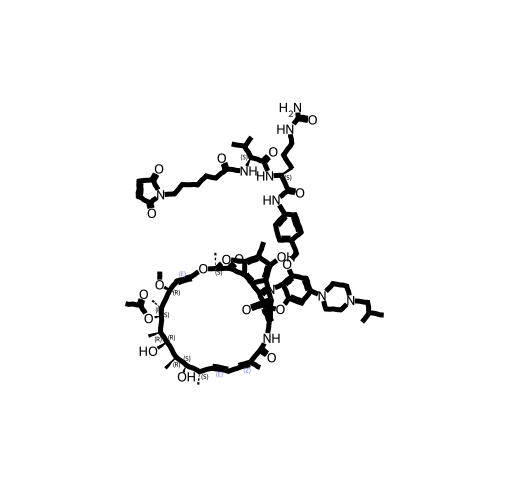 CO[C@H]1/C=C/O[C@@]2(C)Oc3c(C)c(O)c4c(=O)c(c5oc6cc(N7CCN(CC(C)C)CC7)cc(OCc7ccc(NC(=O)[C@H](CCCNC(N)=O)NC(=O)[C@@H](NC(=O)CCCCCN8C(=O)C=CC8=O)C(C)C)cc7)c6nc-5c4c3C2=O)NC(=O)/C(C)=C\C=C\[C@H](C)[C@H](O)[C@@H](C)[C@@H](O)[C@@H](C)[C@H](OC(C)=O)[C@@H]1C